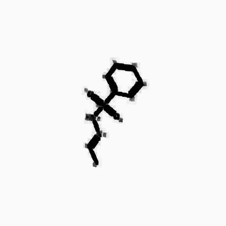 C/C=N/NS(=O)(=O)c1ccccc1